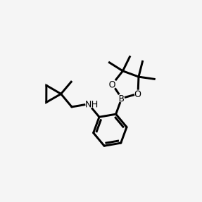 CC1(CNc2ccccc2B2OC(C)(C)C(C)(C)O2)CC1